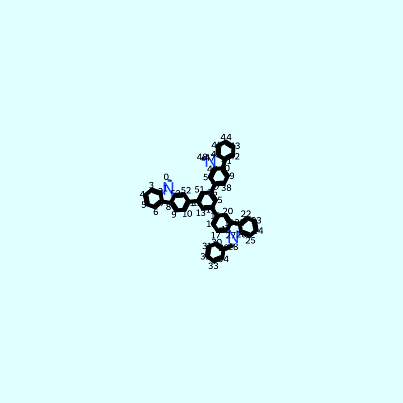 Cn1c2ccccc2c2ccc(-c3cc(-c4ccc5c(c4)c4ccccc4n5Cc4ccccc4)cc(-c4ccc5c6ccccc6n(C)c5c4)c3)cc21